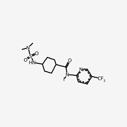 CN(C)S(=O)(=O)NC1CCC(C(=O)N(I)c2ccc(C(F)(F)F)cn2)CC1